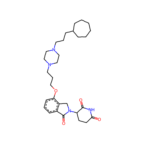 O=C1CCC(N2Cc3c(OCCCN4CCN(CCCC5CCCCCC5)CC4)cccc3C2=O)C(=O)N1